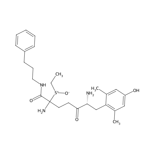 CC[S+]([O-])C(N)(CCC(=O)[C@H](N)Cc1c(C)cc(O)cc1C)C(=O)NCCCc1ccccc1